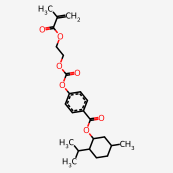 C=C(C)C(=O)OCCOC(=O)Oc1ccc(C(=O)OC2CC(C)CCC2C(C)C)cc1